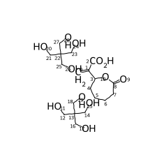 C=C(C(=O)O)C1CCCCC(=O)O1.OCC(CO)(CO)CO.OCC(CO)(CO)CO